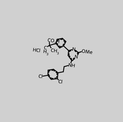 COc1nc(NCCc2ccc(Cl)cc2Cl)cc(-c2cccc(C(C)(C)C(=O)O)c2)n1.Cl